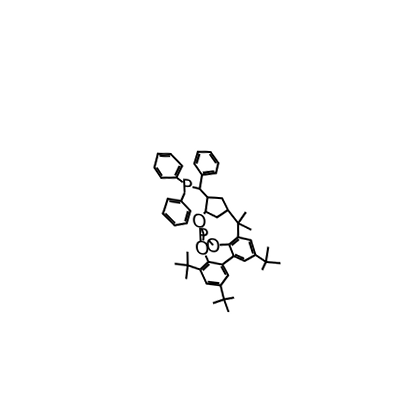 CC(C)(C)c1cc(C(C)(C)C)c2op3oc4c(cc(C(C)(C)C)cc4c2c1)C(C)(C)C1CC(O3)C(C(c2ccccc2)P(c2ccccc2)c2ccccc2)C1